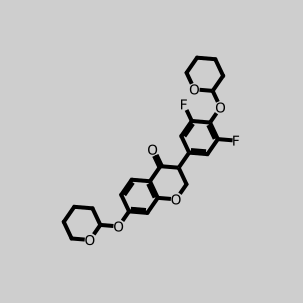 O=C1c2ccc(OC3CCCCO3)cc2OCC1c1cc(F)c(OC2CCCCO2)c(F)c1